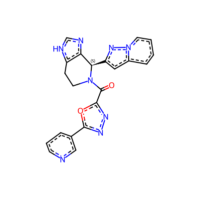 O=C(c1nnc(-c2cccnc2)o1)N1CCc2[nH]cnc2[C@H]1c1cc2ccccn2n1